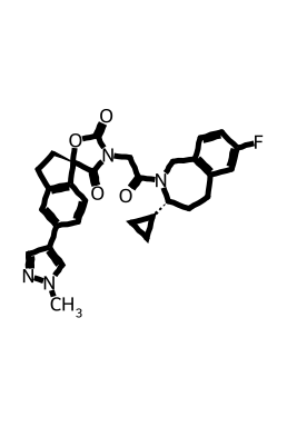 Cn1cc(-c2ccc3c(c2)CC[C@]32OC(=O)N(CC(=O)N3Cc4ccc(F)cc4CC[C@@H]3C3CC3)C2=O)cn1